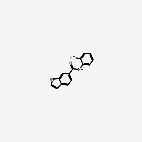 O=C(Nc1ccccc1O)c1ccc2cc[nH]c2c1